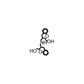 OCC1Oc2ccccc2CC1CNCC1Cc2ccccc2OC1CO